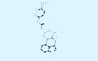 CNc1ccc(NC(=O)C[C@@H]2CC3c4cccc5[nH]cc(c45)C[C@H]3N(C)C2)nn1